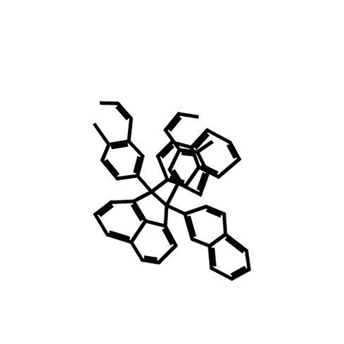 C/C=C\c1cc(C2(c3ccc4ccccc4c3)c3cccc4cccc(c34)C2(c2ccc(C)c(/C=C\C)c2)c2ccc3ccccc3c2)ccc1C